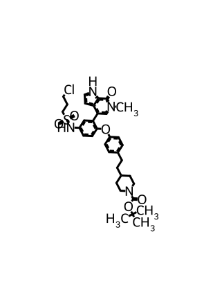 Cn1cc(-c2cc(NS(=O)(=O)CCCCl)ccc2Oc2ccc(CCC3CCN(C(=O)OC(C)(C)C)CC3)cc2)c2cc[nH]c2c1=O